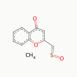 C.O=S=Cc1cc(=O)c2ccccc2o1